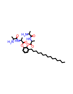 CCCCCCCCCCCCCCCc1cccc(OC(=O)C(C)NC(=O)C(C)N)c1OC(=O)C(C)NC(=O)C(C)N